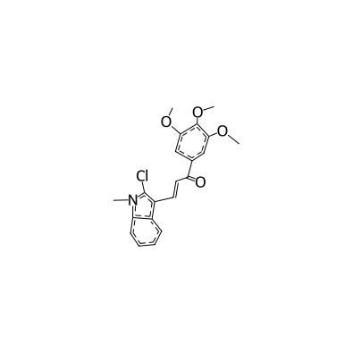 COc1cc(C(=O)C=Cc2c(Cl)n(C)c3ccccc23)cc(OC)c1OC